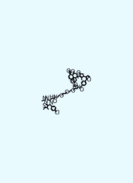 COC(=O)CC1C2(C)C3=C(C)C(c4ccoc4-c4ccc(C(=O)NCCOCCOCCOCCNC(=O)CC5N=C(c6ccc(Cl)cc6)c6c(sc(C)c6C)-n6c(C)nnc65)cc4)CC3OC2C2OC(=O)C3(C)C=CC(=O)C1(C)C23